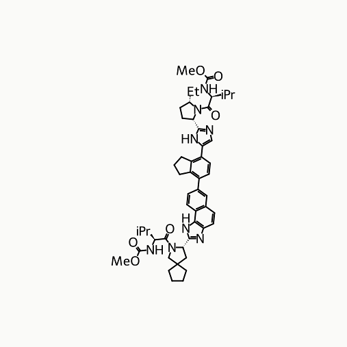 CC[C@H]1CC[C@@H](c2ncc(-c3ccc(-c4ccc5c(ccc6nc([C@@H]7CC8(CCCC8)CN7C(=O)[C@@H](NC(=O)OC)C(C)C)[nH]c65)c4)c4c3CCC4)[nH]2)N1C(=O)[C@@H](NC(=O)OC)C(C)C